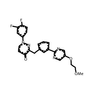 COCCOc1cnc(-c2cccc(Cc3nn(-c4ccc(F)c(F)c4)ccc3=O)c2)nc1